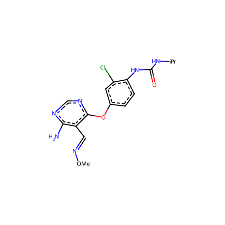 CON=Cc1c(N)ncnc1Oc1ccc(NC(=O)NC(C)C)c(Cl)c1